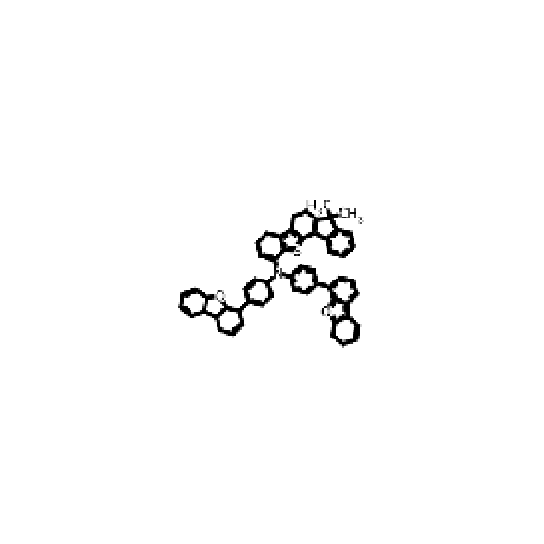 CC1(C)C2=C(c3ccccc31)c1sc3c(c1CC2)CCC=C3N(c1ccc(-c2cccc3c4c(oc23)CCC=C4)cc1)C1C=CC(C2C=CCC3C4C=CC=CC4OC23)=CC1